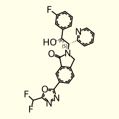 O=C1c2cc(-c3nnc(C(F)F)o3)ccc2CN1[C@@H](c1ccccn1)[C@H](O)c1cccc(F)c1